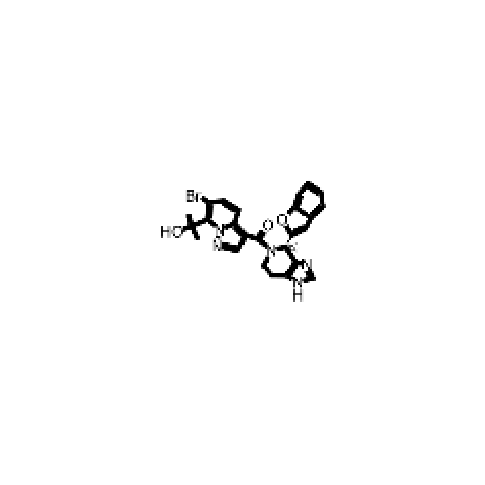 CC(C)(O)c1c(Br)ccc2c(C(=O)N3CCc4[nH]cnc4[C@H]3c3cc4ccccc4o3)cnn12